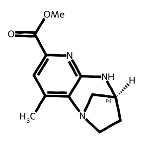 COC(=O)c1cc(C)c2c(n1)N[C@H]1CCN2C1